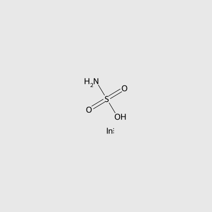 NS(=O)(=O)O.[In]